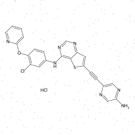 Cl.Nc1cnc(C#Cc2cc3ncnc(Nc4ccc(Oc5ccccn5)c(Cl)c4)c3s2)cn1